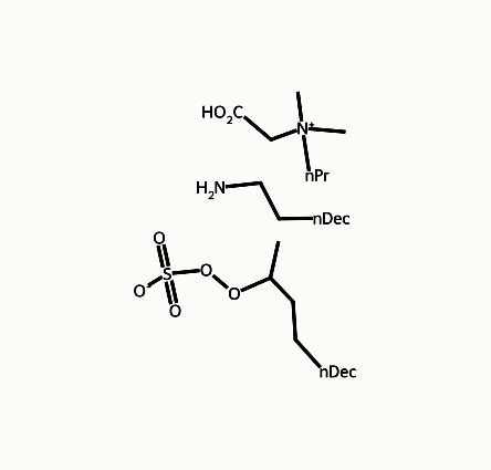 CCCCCCCCCCCCC(C)OOS(=O)(=O)[O-].CCCCCCCCCCCCN.CCC[N+](C)(C)CC(=O)O